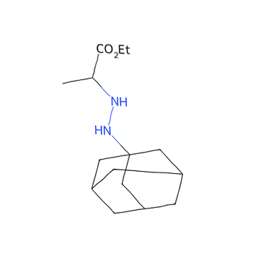 CCOC(=O)C(C)NNC12CC3CC(CC(C3)C1)C2